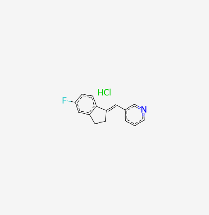 Cl.Fc1ccc2c(c1)CC/C2=C\c1cccnc1